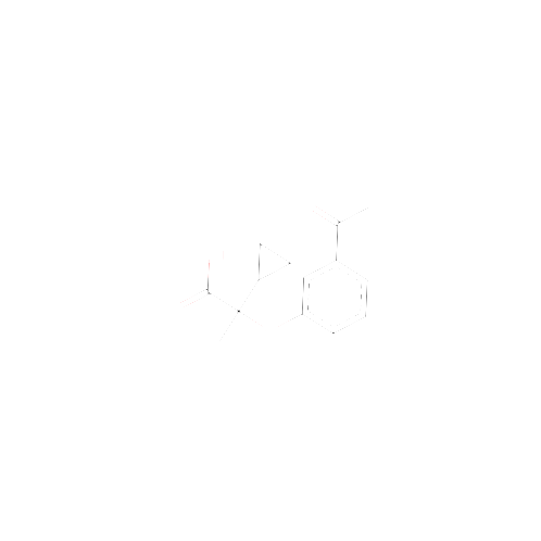 CC(=O)c1cccc(OC(C)(C(=O)O)C2CC2)c1